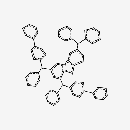 c1ccc(-c2ccc(N(c3ccccc3)c3cc(N(c4ccccc4)c4ccc(-c5ccccc5)cc4)c4sc5ccc(N(c6ccccc6)c6ccccc6)cc5c4c3)cc2)cc1